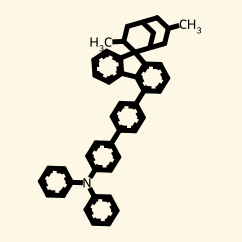 CC1CC2CC(C)C3(c4ccccc4-c4c(-c5ccc(-c6ccc(N(c7ccccc7)c7ccccc7)cc6)cc5)cccc43)C(C1)C2